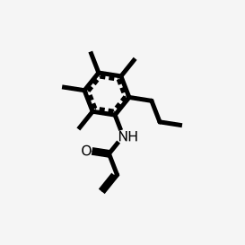 C=CC(=O)Nc1c(C)c(C)c(C)c(C)c1CCC